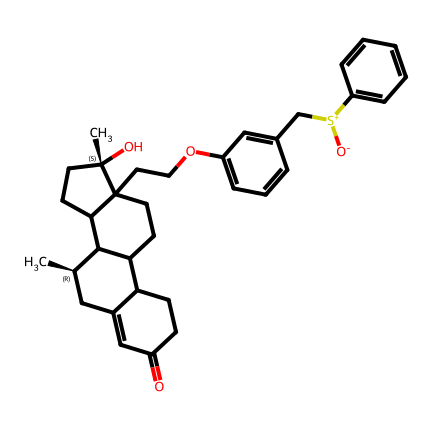 C[C@@H]1CC2=CC(=O)CCC2C2CCC3(CCOc4cccc(C[S+]([O-])c5ccccc5)c4)C(CC[C@]3(C)O)C21